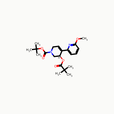 COc1cccc(C2=CCN(C(=O)OC(C)(C)C)C[C@@H]2OC(=O)C(C)(C)C)n1